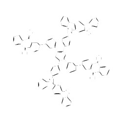 O=C1c2ccccc2C(=O)c2cc(-c3cccc(-c4cc(-c5ccc(-n6c7ccccc7c7cc8c(cc76)sc6ccccc68)cc5)c(-c5cccc(-c6ccc7c(c6)C(=O)c6ccccc6C7=O)c5)cc4-c4ccc(-n5c6ccccc6c6cc7c(cc65)sc5ccccc57)cc4)c3)ccc21